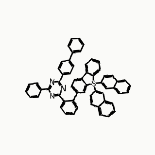 c1ccc(-c2ccc(-c3nc(-c4ccccc4)nc(-c4ccccc4-c4ccc5c(c4)S(c4ccc6ccccc6c4)(c4ccc6ccccc6c4)c4ccccc4-5)n3)cc2)cc1